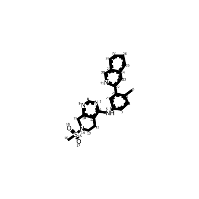 Cc1ccc(Nc2ncnc3c2CCN(S(C)(=O)=O)C3)cc1-c1cc2ccccc2cn1